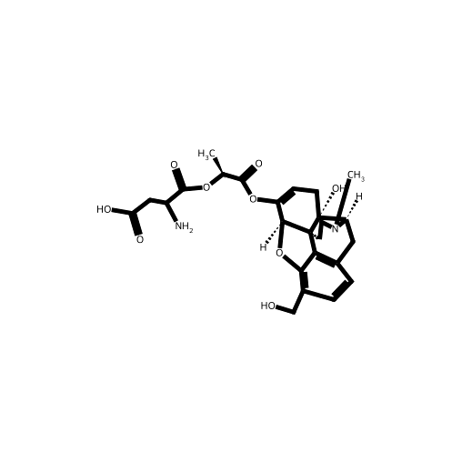 C[C@H](OC(=O)C(N)CC(=O)O)C(=O)OC1=CC[C@@]2(O)[C@H]3Cc4ccc(CO)c5c4[C@@]2(CCN3C)[C@H]1O5